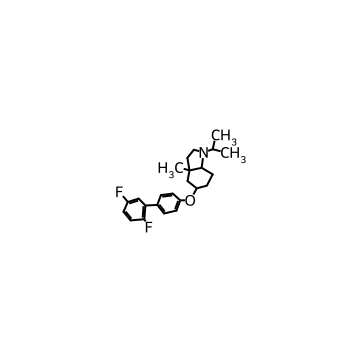 CC(C)N1CCC2(C)CC(Oc3ccc(-c4cc(F)ccc4F)cc3)CCC12